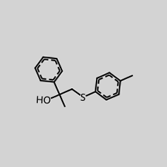 Cc1ccc(SCC(C)(O)c2ccccc2)cc1